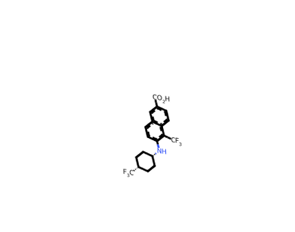 O=C(O)c1ccc2c(C(F)(F)F)c(N[C@H]3CC[C@@H](C(F)(F)F)CC3)ccc2c1